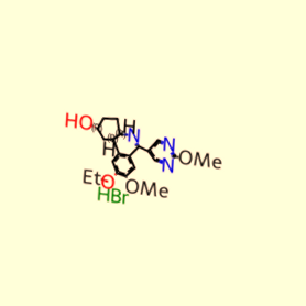 Br.CCOc1cc2c(cc1OC)C(c1cnc(OC)nc1)=N[C@@H]1CC[C@@H](O)C[C@H]21